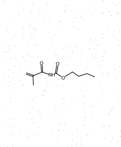 C=C(C)C(=O)NC(=O)OCCCC